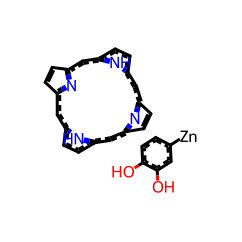 C1=Cc2cc3ccc(cc4nc(cc5ccc(cc1n2)[nH]5)C=C4)[nH]3.Oc1cc[c]([Zn])cc1O